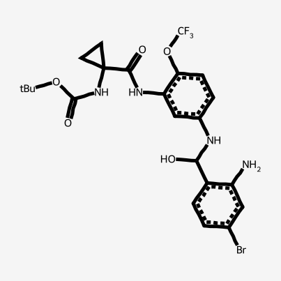 CC(C)(C)OC(=O)NC1(C(=O)Nc2cc(NC(O)c3ccc(Br)cc3N)ccc2OC(F)(F)F)CC1